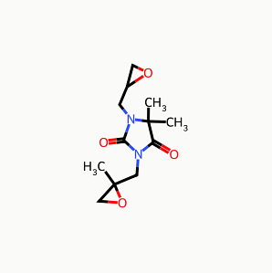 CC1(CN2C(=O)N(CC3CO3)C(C)(C)C2=O)CO1